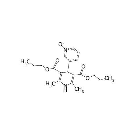 CCCOC(=O)C1=C(C)NC(C)=C(C(=O)OCCC)C1c1ccc[n+]([O-])c1